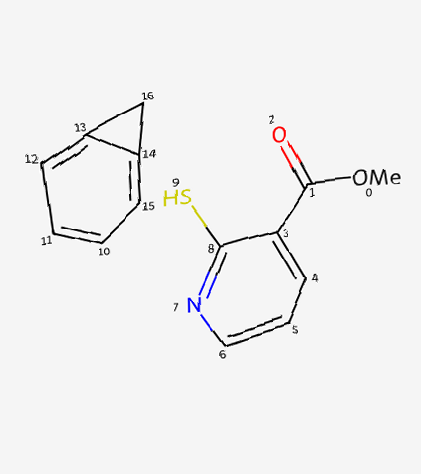 COC(=O)c1cccnc1S.c1ccc2c(c1)C2